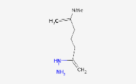 C=C(CCCC(=C)NN)NC